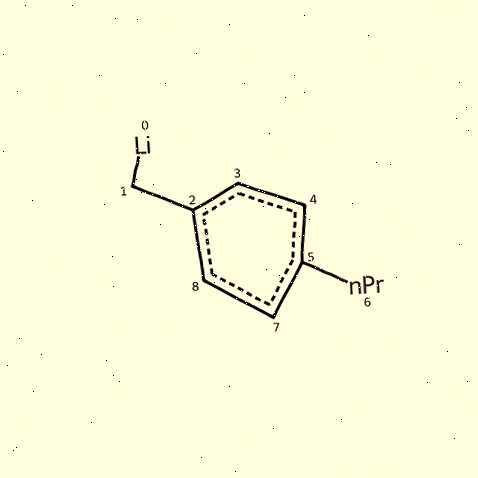 [Li][CH2]c1ccc(CCC)cc1